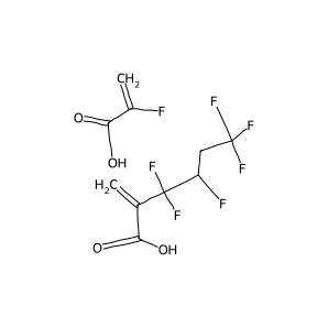 C=C(C(=O)O)C(F)(F)C(F)CC(F)(F)F.C=C(F)C(=O)O